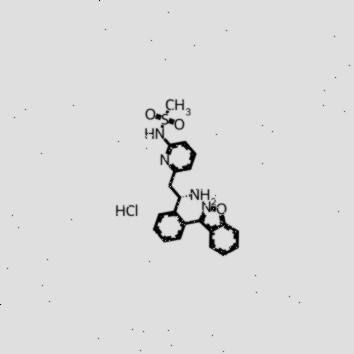 CS(=O)(=O)Nc1cccc(C[C@H](N)c2ccccc2-c2noc3ccccc23)n1.Cl